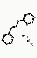 C(=Cc1ccccc1)Cc1ccccc1.F.F.F.F